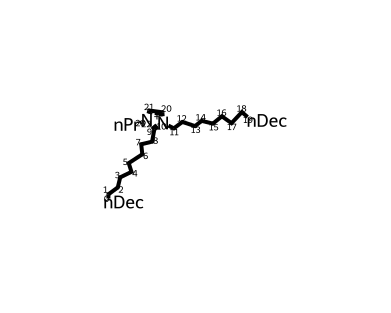 CCCCCCCCCCCCCCCCCCc1n(CCCCCCCCCCCCCCCCCC)cc[n+]1CCC